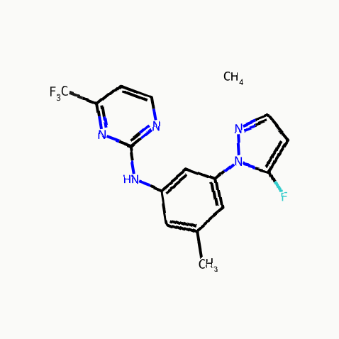 C.Cc1cc(Nc2nccc(C(F)(F)F)n2)cc(-n2nccc2F)c1